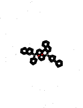 c1ccc(-c2ccc(N(c3ccccc3)c3ccc4ccccc4c3-c3ccc(N(c4ccccc4)c4ccc5ccccc5c4)cc3)cc2)cc1